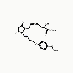 CCCCCCOc1ccc(OCC/C=C/[C@H]2[C@H](C)CC(=O)[C@@H]2CC=C=CCC(O)C(=O)OC)cc1